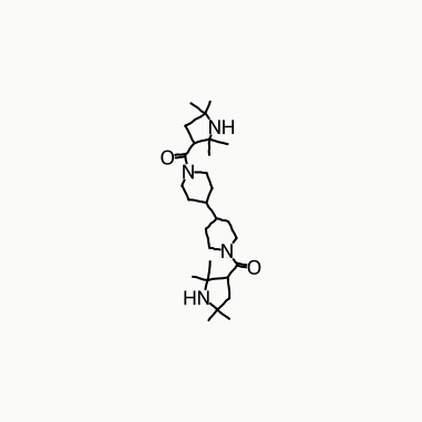 CC1(C)CC(C(=O)N2CCC(C3CCN(C(=O)C4CC(C)(C)NC4(C)C)CC3)CC2)C(C)(C)N1